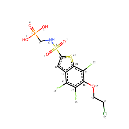 O=P(O)(O)CNS(=O)(=O)c1cc2c(F)c(F)c(OCCCl)c(F)c2s1